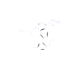 CCN1CCN(c2nc(=O)n3c4c(c(-c5cc(Cl)c(F)cc5F)c(C(F)(F)F)cc24)SC[C@H](OC)C3)[C@@H](C)C1